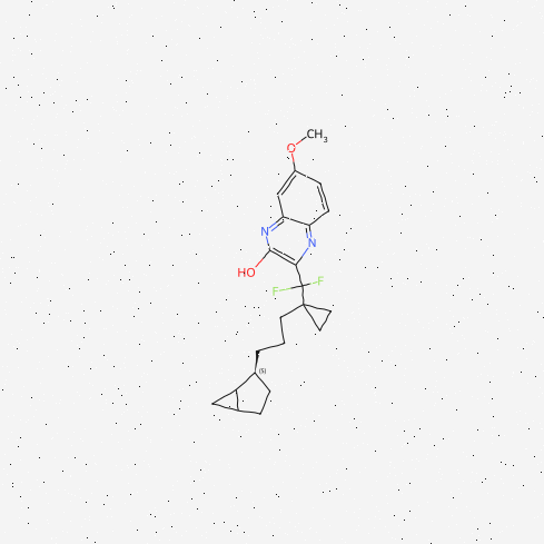 COc1ccc2nc(C(F)(F)C3(CCC[C@H]4CCC5CC54)CC3)c(O)nc2c1